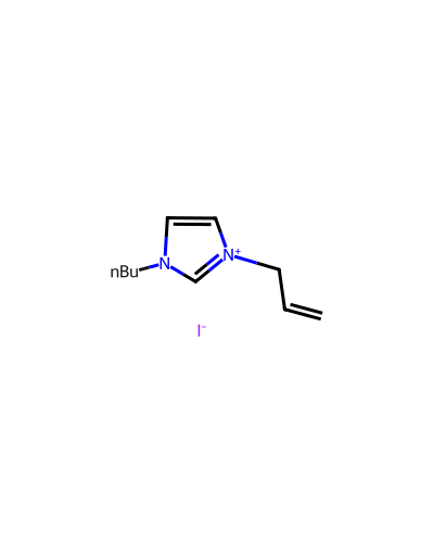 C=CC[n+]1ccn(CCCC)c1.[I-]